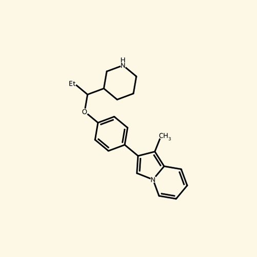 CCC(Oc1ccc(-c2cn3ccccc3c2C)cc1)C1CCCNC1